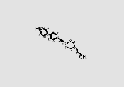 CCCC[C@H]1CC[C@H](C#Cc2ccc(-c3ccc(F)cc3)cc2)CC1